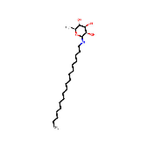 CCCCCCCCCCCCCCCCCCNC1O[C@@H](C)[C@H](O)[C@@H](O)[C@H]1O